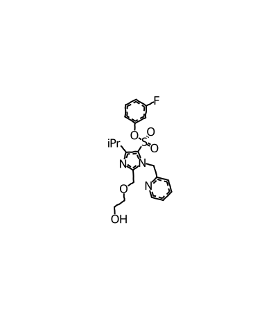 CC(C)c1nc(COCCO)n(Cc2ccccn2)c1S(=O)(=O)Oc1cccc(F)c1